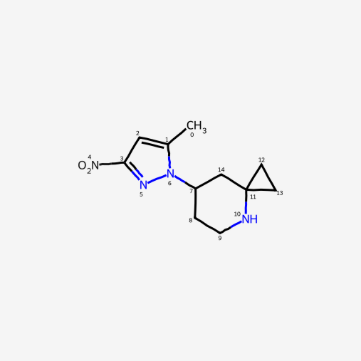 Cc1cc([N+](=O)[O-])nn1C1CCNC2(CC2)C1